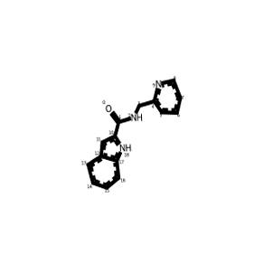 O=C(NCc1ccccn1)c1cc2ccccc2[nH]1